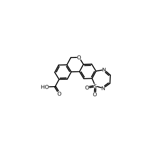 O=C(O)c1ccc2c(c1)-c1cc3c(cc1OC2)N=CC=NS3(=O)=O